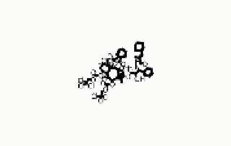 CC(=O)O[C@@]12CO[C@]1(C)C[C@H](OC(=O)OCC(Cl)(Cl)Cl)[C@@]1(C)C(=O)[C@H](OC(=O)OCC(Cl)(Cl)Cl)C3=C(C)[C@@H](OC(=O)[C@H](O)[C@@H](NC(=O)/C(C)=C/c4ccccc4)c4ccccc4)CC(O)([C@@H](OC(=O)c4ccccc4)[C@@H]12)C3(C)C